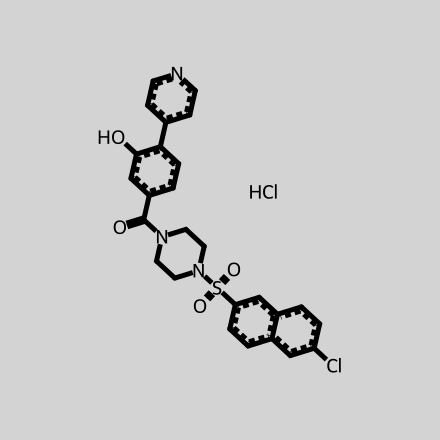 Cl.O=C(c1ccc(-c2ccncc2)c(O)c1)N1CCN(S(=O)(=O)c2ccc3cc(Cl)ccc3c2)CC1